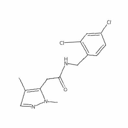 Cc1cnn(C)c1CC(=O)NCc1ccc(Cl)cc1Cl